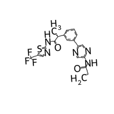 C=CC(=O)Nc1cnc(-c2cccc([C@H](C)C(=O)Nc3ncc(C(F)(F)F)s3)c2)cn1